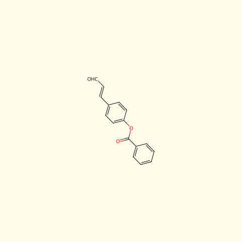 O=CC=Cc1ccc(OC(=O)c2ccccc2)cc1